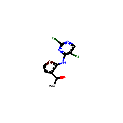 COC(=O)c1ccsc1Nc1nc(Cl)ncc1Cl